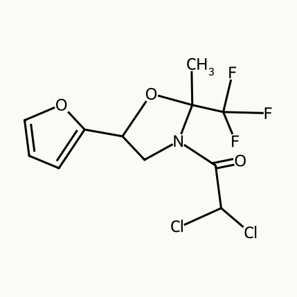 CC1(C(F)(F)F)OC(c2ccco2)CN1C(=O)C(Cl)Cl